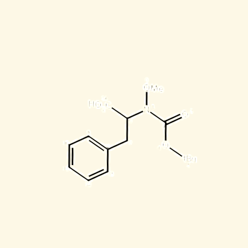 CON(C(=O)OC(C)(C)C)C(Cc1ccccc1)C(=O)O